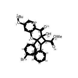 CCCCOc1cnc2c(c1)OC1(c3ccc(Br)cc3)C(c3ccccc3)C(C(=O)OC)C1(O)C2=O